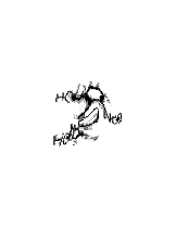 C#Cc1cccc(N=C=O)c1COc1ccn(O)n1